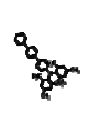 Cc1cc(C)c(B(c2ccc(-c3ccc(-c4ccccc4)cc3)nc2)c2c(C)cc(C)cc2C)c(C)c1